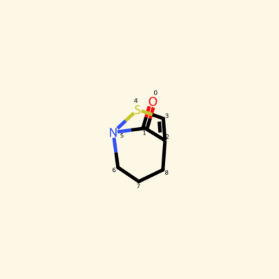 O=c1c2csn1CCC2